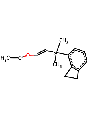 CCOC=C[Si](C)(C)c1cccc2c1CC2